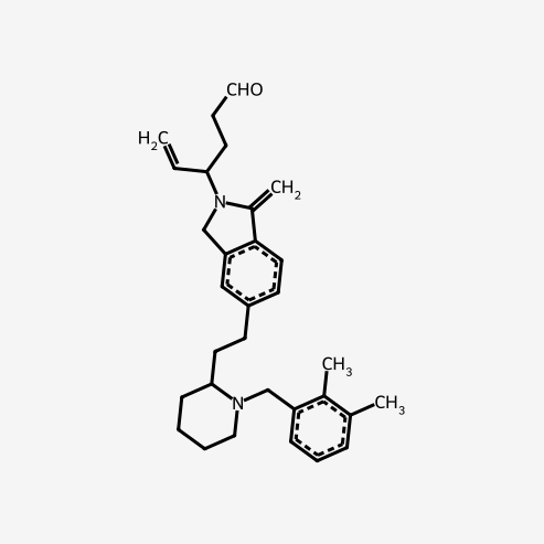 C=CC(CCC=O)N1Cc2cc(CCC3CCCCN3Cc3cccc(C)c3C)ccc2C1=C